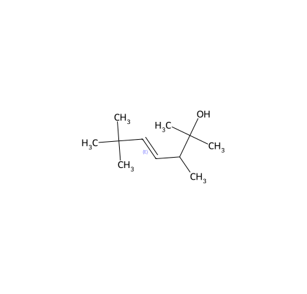 CC(/C=C/C(C)(C)C)C(C)(C)O